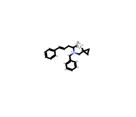 CC(C/C=C/c1ccccc1)N(Cc1ccccc1)CC1(C)CC1